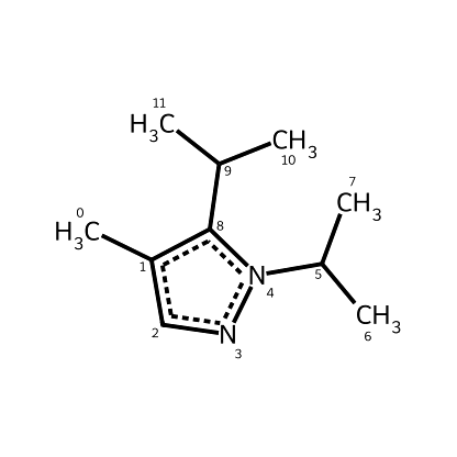 Cc1cnn(C(C)C)c1C(C)C